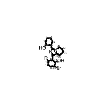 Oc1ccccc1-c1nc(-c2c(F)ccc(Br)c2O)c2ccccn12